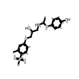 Cc1cc(OCC(O)CNC(C)Oc2ccc(O)cc2)ccc1S(C)(=O)=O